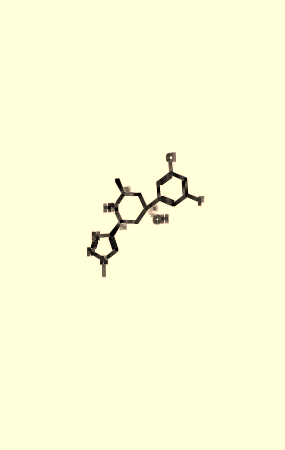 C[C@H]1C[C@@](O)(c2cc(F)cc(Cl)c2)C[C@@H](c2cn(C)nn2)N1